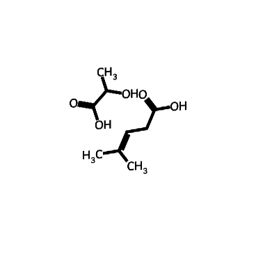 CC(C)=CCC(=O)O.CC(O)C(=O)O